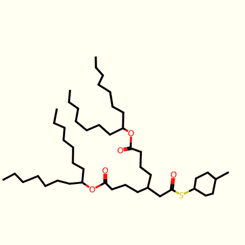 CCCCCCCC(CCCCCCC)OC(=O)CCCC(CCCC(=O)OC(CCCCCCC)CCCCCCC)CC(=O)SC1CCC(C)CC1